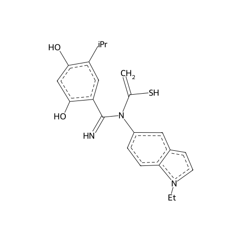 C=C(S)N(C(=N)c1cc(C(C)C)c(O)cc1O)c1ccc2c(ccn2CC)c1